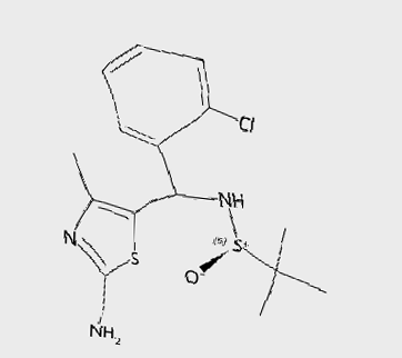 Cc1nc(N)sc1C(N[S@+]([O-])C(C)(C)C)c1ccccc1Cl